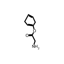 NCC(=O)OC1=CCC=CC1